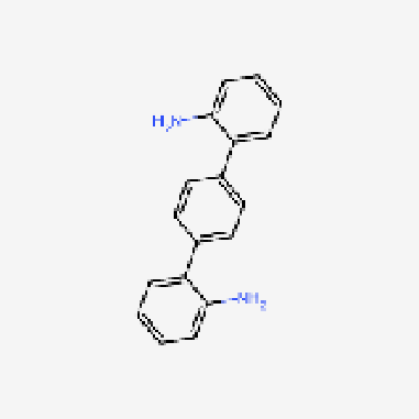 Nc1ccccc1-c1ccc(-c2ccccc2N)cc1